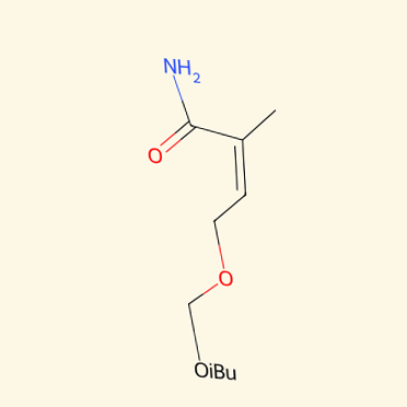 CC(=CCOCOCC(C)C)C(N)=O